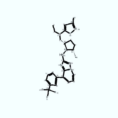 CCN(C[C@@H]1CC[C@H](C)[C@H]1Nc1nc2c(-c3cccc(C(F)(F)F)c3)cccn2n1)c1cc(C)ns1